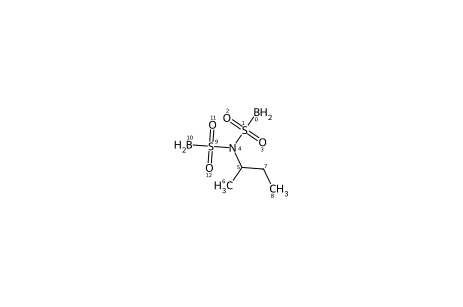 BS(=O)(=O)N(C(C)CC)S(B)(=O)=O